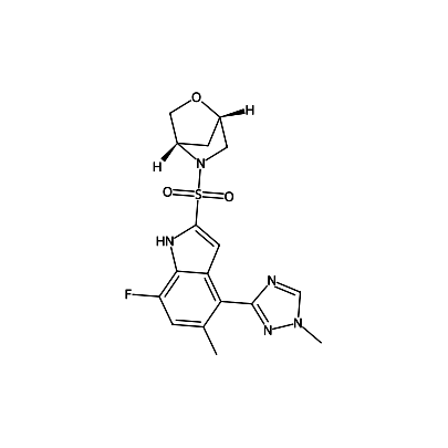 Cc1cc(F)c2[nH]c(S(=O)(=O)N3C[C@@H]4C[C@H]3CO4)cc2c1-c1ncn(C)n1